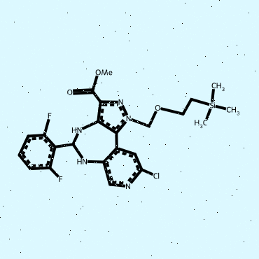 COC(=O)c1nn(COCC[Si](C)(C)C)c2c1NC(c1c(F)cccc1F)Nc1cnc(Cl)cc1-2